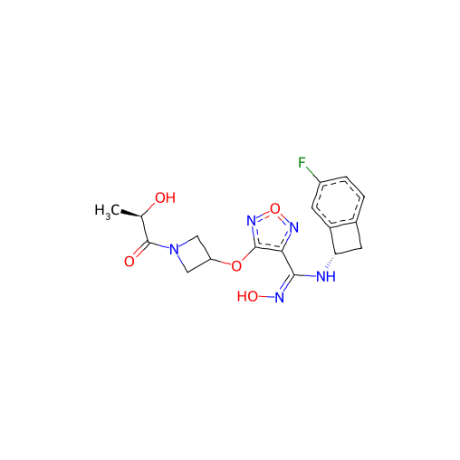 C[C@@H](O)C(=O)N1CC(Oc2nonc2/C(=N\O)N[C@H]2Cc3ccc(F)cc32)C1